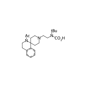 CC(=O)N1CCc2ccccc2C12CCN(CCN(C(=O)O)C(C)(C)C)CC2